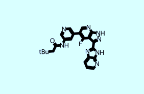 CC(C)(C)CC(=O)Nc1cncc(-c2cnc3[nH]nc(-c4nc5cccnc5[nH]4)c3c2F)c1